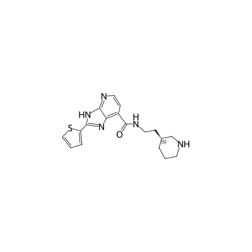 O=C(NCC[C@@H]1CCCNC1)c1ccnc2[nH]c(-c3cccs3)nc12